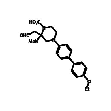 CCOc1ccc(-c2ccc(N3CCN(C(=O)O)C(CC=O)(NC)C3)cc2)cc1